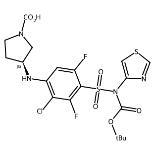 CC(C)(C)OC(=O)N(c1cscn1)S(=O)(=O)c1c(F)cc(N[C@H]2CCN(C(=O)O)C2)c(Cl)c1F